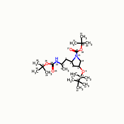 CC(CC1CC(O[Si](C)(C)C(C)(C)C)CN1C(=O)OC(C)(C)C)NC(=O)OC(C)(C)C